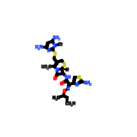 CCN1C(SCC2=C(C(=O)O)N3C(=O)C(NC(=O)/C(=N\OC(C)CC(=O)O)c4csc(N)n4)[C@@H]3SC2)=NC(N)=CC1N